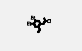 C=Cc1cc(CC)c(CC)cc1/C=C(\C)Cl